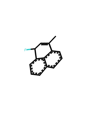 CC1=CC(F)c2cccc3cccc1c23